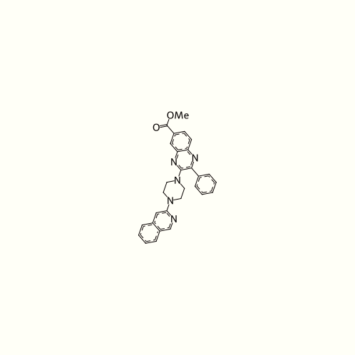 COC(=O)c1ccc2nc(-c3ccccc3)c(N3CCN(c4cc5ccccc5cn4)CC3)nc2c1